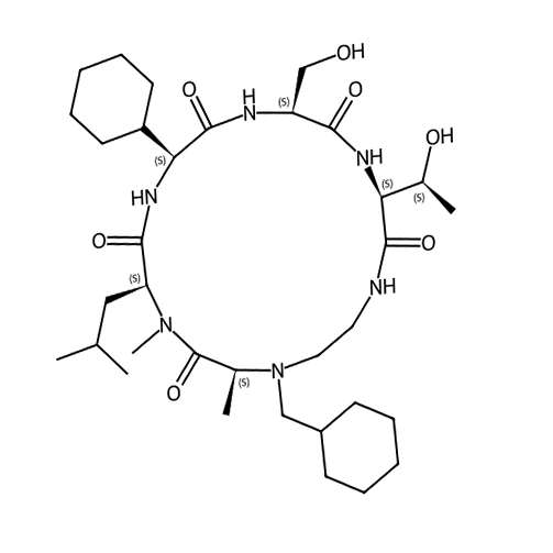 CC(C)C[C@H]1C(=O)N[C@@H](C2CCCCC2)C(=O)N[C@@H](CO)C(=O)N[C@@H]([C@H](C)O)C(=O)NCCN(CC2CCCCC2)[C@@H](C)C(=O)N1C